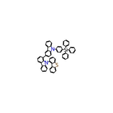 c1ccc([Si](c2ccccc2)(c2ccccc2)c2ccc(-n3c4ccccc4c4cc(-c5cccc6c7ccccc7n(-c7cccc8sc9ccccc9c78)c56)ccc43)cc2)cc1